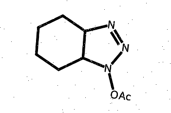 CC(=O)ON1N=NC2CCCCC21